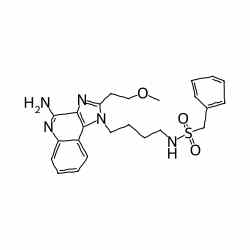 COCCc1nc2c(N)nc3ccccc3c2n1CCCCNS(=O)(=O)Cc1ccccc1